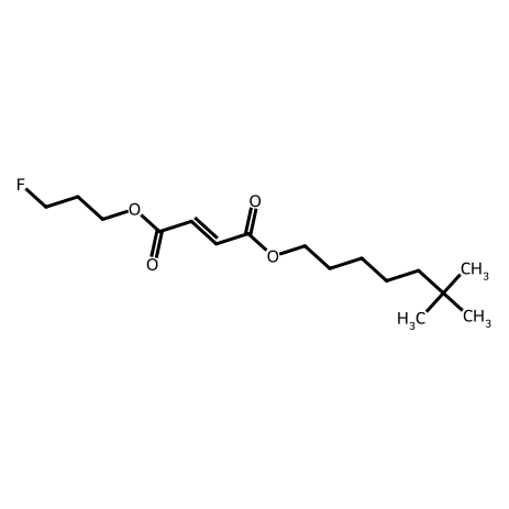 CC(C)(C)CCCCCOC(=O)/C=C/C(=O)OCCCF